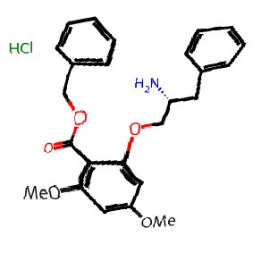 COc1cc(OC)c(C(=O)OCc2ccccc2)c(OC[C@H](N)Cc2ccccc2)c1.Cl